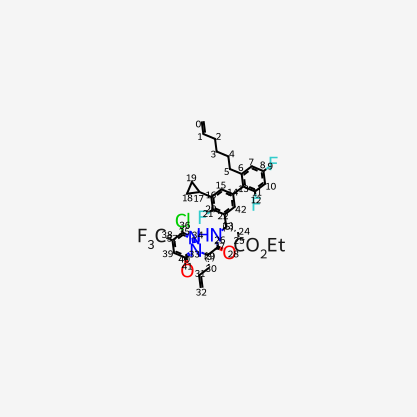 C=CCCCCc1cc(F)cc(F)c1-c1cc(C2CC2)c(F)c([C@H](CC(=O)OCC)NC(=O)[C@H](CC=C)n2nc(Cl)c(C(F)(F)F)cc2=O)c1